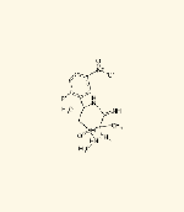 CN[SH]1(=O)C[C@@](C)(c2cc([N+](=O)[O-])ccc2F)NC(=N)C1(C)C